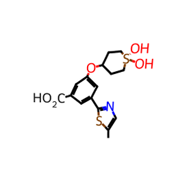 Cc1cnc(-c2cc(OC3CCS(O)(O)CC3)cc(C(=O)O)c2)s1